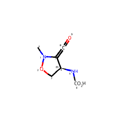 CN1OC[C@H](NC(=O)O)C1=C=O